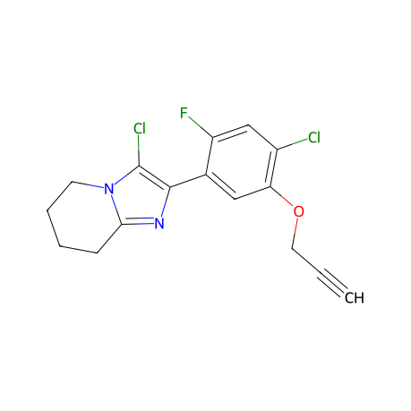 C#CCOc1cc(-c2nc3n(c2Cl)CCCC3)c(F)cc1Cl